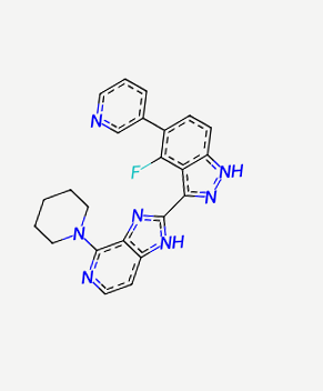 Fc1c(-c2cccnc2)ccc2[nH]nc(-c3nc4c(N5CCCCC5)nccc4[nH]3)c12